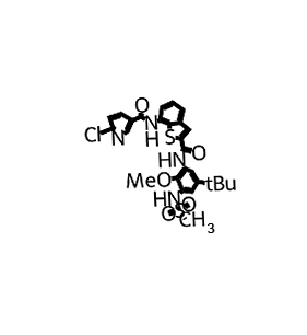 COc1c(NC(=O)c2cc3cccc(NC(=O)c4ccc(Cl)nc4)c3s2)cc(C(C)(C)C)cc1NS(C)(=O)=O